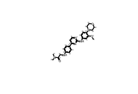 COc1cc(Nc2nccc(-c3ccc(NCC(=O)N(C)C)cc3)n2)ccc1N1CCOCC1